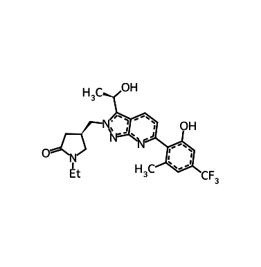 CCN1C[C@H](Cn2nc3nc(-c4c(C)cc(C(F)(F)F)cc4O)ccc3c2[C@@H](C)O)CC1=O